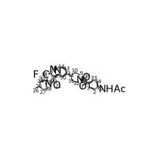 CC(=O)Nc1ccc(S(=O)(=O)N2CCC(c3ccn4nc(C(F)(F)F)c(C(=O)N5CCC(C)CC5)c4c3)CC2)cc1